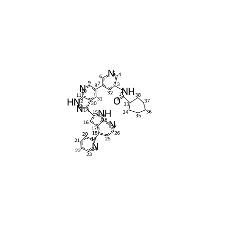 O=C(Nc1cncc(-c2cnc3[nH]nc(-c4cc5c(-c6ccccn6)ccnc5[nH]4)c3c2)c1)C1CCCCC1